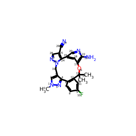 Cn1cc2c(n1)-c1ccc(F)cc1C(C)(C)Oc1cc(cnc1N)-c1c(C#N)cnn1C2